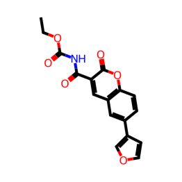 CCOC(=O)NC(=O)c1cc2cc(-c3ccoc3)ccc2oc1=O